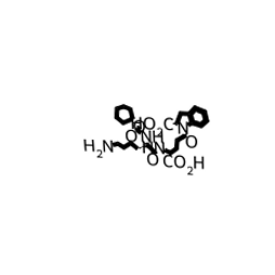 NCCCC[C@H](NC(=O)OC1CCCCC1)C(=O)N[C@H](CCC(=O)N1c2ccccc2C[C@H]1C(=O)O)C(=O)O